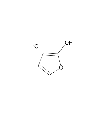 Oc1ccco1.[O]